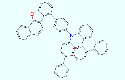 c1ccc(-c2ccc(N(c3ccc(-c4cccc5oc6c7ccccc7ccc6c45)cc3)c3ccccc3-c3ccccc3-c3ccccc3)cc2)cc1